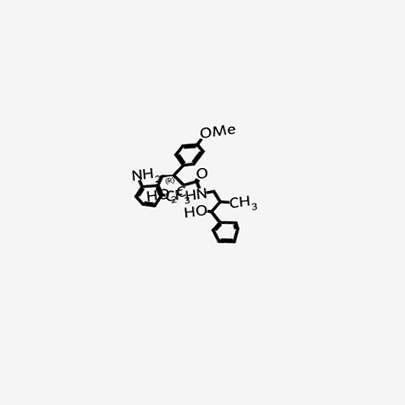 COc1ccc([C@H](Cc2c(N)cccc2C(F)(F)F)C(C(=O)O)C(=O)NCC(C)C(O)c2ccccc2)cc1